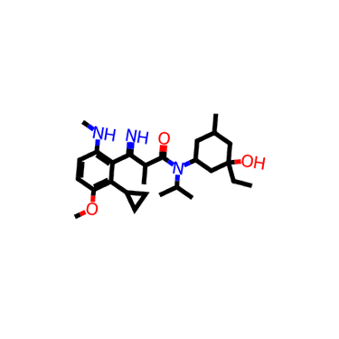 CCC1(O)CC(C)CC(N(C(=O)C(C)C(=N)c2c(NC)ccc(OC)c2C2CC2)C(C)C)C1